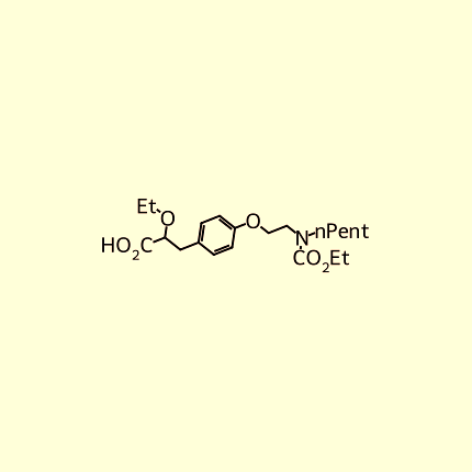 CCCCCN(CCOc1ccc(CC(OCC)C(=O)O)cc1)C(=O)OCC